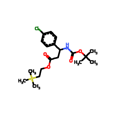 CC(C)(C)OC(=O)NC(CC(=O)OCCS(C)(C)C)c1ccc(Cl)cc1